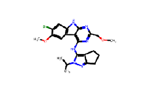 COCc1nc(Nc2c3c(nn2C(C)C)CCC3)c2c(n1)[nH]c1cc(Br)c(OC)cc12